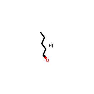 CCCCC=O.[Hf]